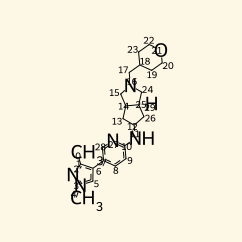 Cc1nn(C)cc1-c1ccc(NC2CC3CN(CC4CCOCC4)C[C@H]3C2)nc1